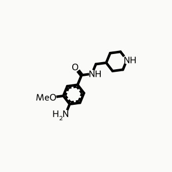 COc1cc(C(=O)NCC2CCNCC2)ccc1N